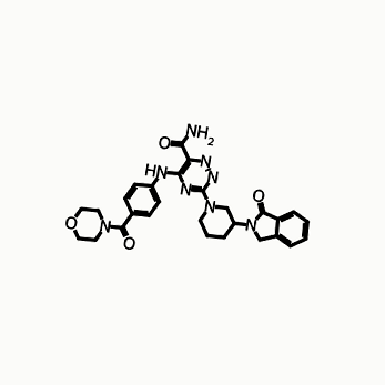 NC(=O)c1nnc(N2CCCC(N3Cc4ccccc4C3=O)C2)nc1Nc1ccc(C(=O)N2CCOCC2)cc1